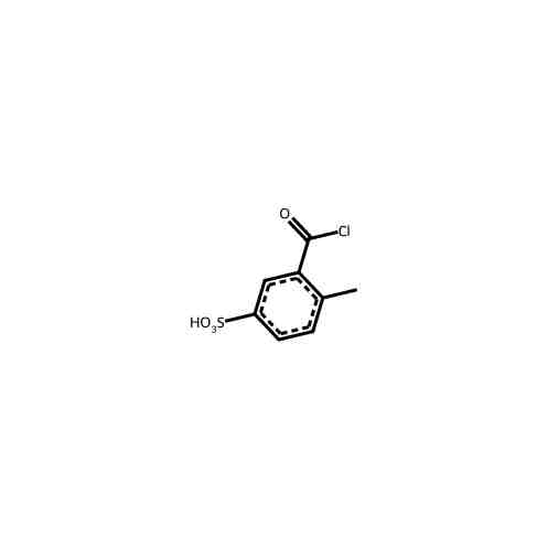 Cc1ccc(S(=O)(=O)O)cc1C(=O)Cl